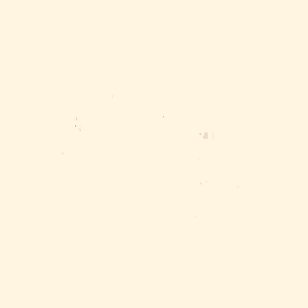 N[C@@H](Cc1cccc2ncccc12)C(=O)O